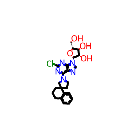 OC[C@H]1O[C@@H](n2cnc3c(N4CCC5(CCCc6ccccc65)C4)nc(Cl)nc32)[C@@H](O)C1O